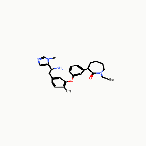 CCC(C)CN1CCCCC(c2cccc(Oc3cc(CC(N)c4cncn4C)ccc3C#N)c2)C1=O